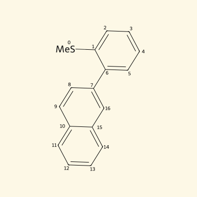 CSc1ccccc1-c1ccc2ccccc2c1